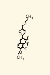 CCCCCC1=CCC(c2cc3ccc(OCC)c(F)c3c(F)c2F)OC1